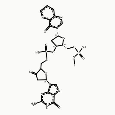 Nc1nc2c(ncn2[C@H]2CC(=O)C(COP(=O)(S)O[C@H]3C[C@H](n4cnc5cccnc5c4=O)O[C@@H]3COP(=O)(S)OI)O2)c(=O)[nH]1